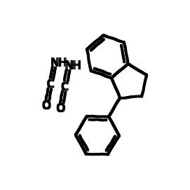 N=C=O.N=C=O.c1ccc(C2CCc3ccccc32)cc1